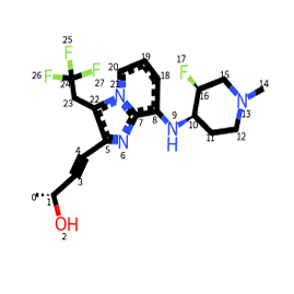 C[C@@H](O)C#Cc1nc2c(N[C@@H]3CCN(C)C[C@@H]3F)cccn2c1CC(F)(F)F